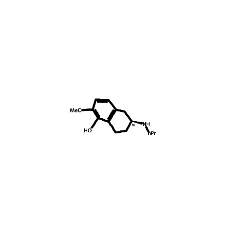 CCCN[C@H]1CCc2c(ccc(OC)c2O)C1